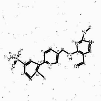 CSc1ncc(C=O)c(NCc2ccc(-c3cc(S(N)(=O)=O)ccc3C)nc2)n1